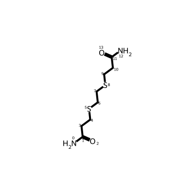 NC(=O)CCSCCSCCC(N)=O